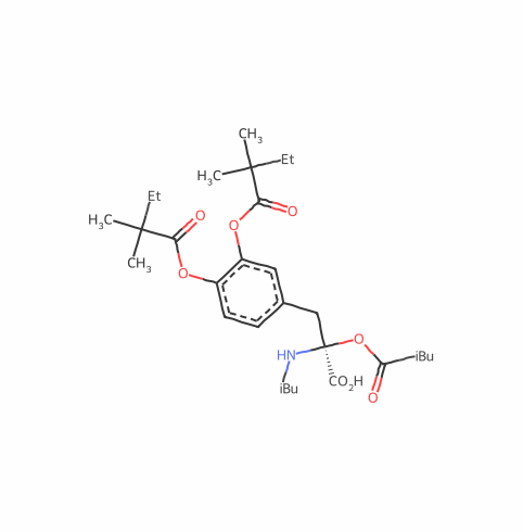 CCC(C)N[C@@](Cc1ccc(OC(=O)C(C)(C)CC)c(OC(=O)C(C)(C)CC)c1)(OC(=O)C(C)CC)C(=O)O